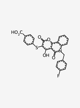 O=C(O)c1ccc(Sc2c(O)c3c(=O)n(Cc4ccc(F)cc4)c4ccccc4c3oc2=O)cc1